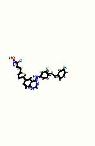 O=C(/C=C/c1ccc(-c2ccc3ncnc(Nc4ccc(CCc5cccc(F)c5)c(Cl)c4)c3c2)s1)NO